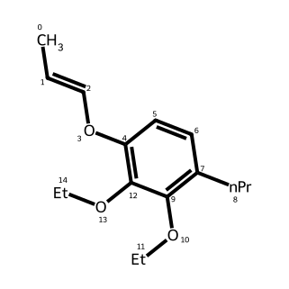 CC=COc1ccc(CCC)c(OCC)c1OCC